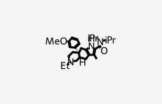 CCN1CC[C@@]2(c3cccc(OC)c3)Cc3[nH]c(C(=O)N(C(C)C)C(C)C)c(C)c3C[C@@H]2C1